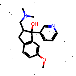 COc1ccc2c(c1)C(O)(c1cccnc1)C(CN(C)C)C2